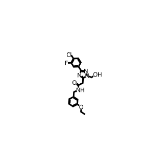 CCOc1cccc(CNC(=O)Cc2nc(-c3ccc(Cl)c(F)c3)nn2CO)c1